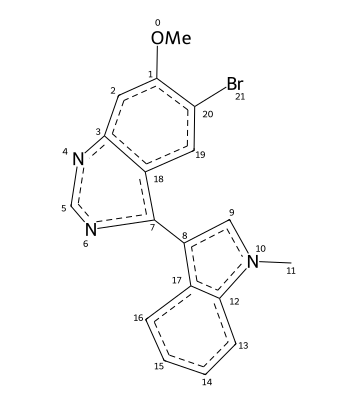 COc1cc2ncnc(-c3cn(C)c4ccccc34)c2cc1Br